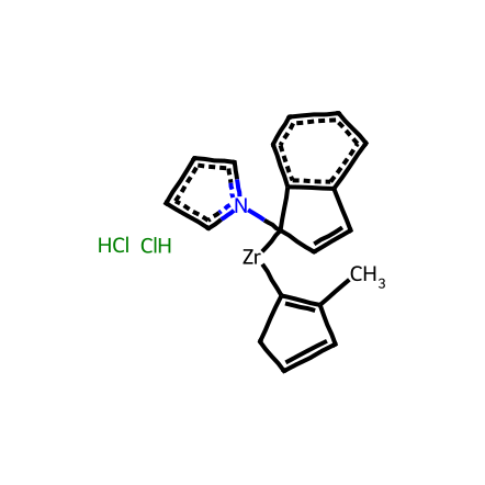 CC1=[C]([Zr][C]2(n3cccc3)C=Cc3ccccc32)CC=C1.Cl.Cl